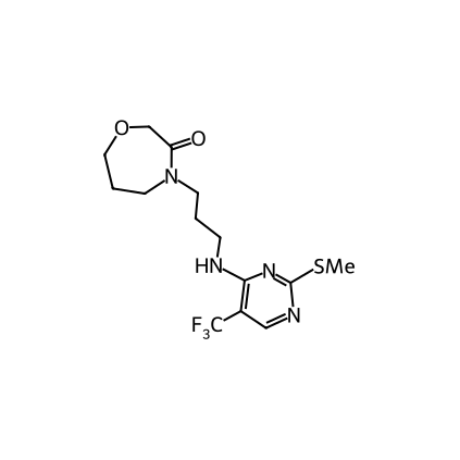 CSc1ncc(C(F)(F)F)c(NCCCN2CCCOCC2=O)n1